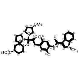 CCOC(=O)[C@H]1CC[C@H](OC(C(=O)Cc2cc(Cl)c(NC(=O)c3cn(C)c4ccccc34)cc2Cl)(N2CCCC2)N2CC[C@@H](OC)C2)CC1